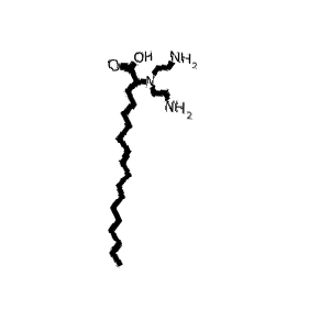 CCCCCCCCCCCCCCCCC(C(=O)O)N(CCN)CCN